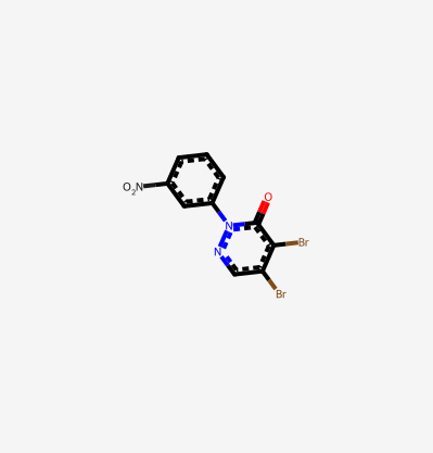 O=c1c(Br)c(Br)cnn1-c1cccc([N+](=O)[O-])c1